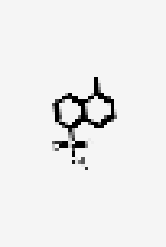 Cc1cccc2c(S(N)(=O)=O)cccc12